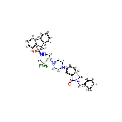 O=C1c2cc(N3CCN(CCCCC4(C(=O)NCC(F)(F)F)c5ccccc5-c5ccccc54)CC3)ccc2CN1Cc1ccccc1